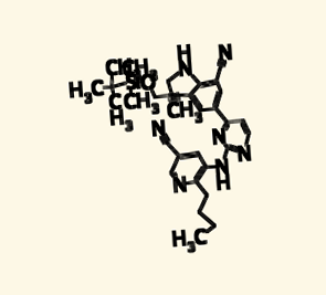 CCCCc1ncc(C#N)cc1Nc1nccc(-c2cc(C#N)c3c(c2)[C@@](C)(CO[Si](C)(C)C(C)(C)C)CN3)n1